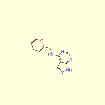 C1#COC(CNc2ncnc3[nH]ncc23)=CC1